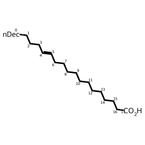 CCCCCCCCCCCCCC=CCCCCCCCCCCCC(=O)O